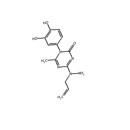 C=CCN(N)c1nc(C)n(-c2ccc(O)c(O)c2)c(=O)n1